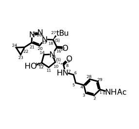 CC(=O)Nc1ccc(CCNC(=O)[C@@H]2C[C@@H](O)CN2C(=O)[C@@H](n2cc(C3CC3)nn2)C(C)(C)C)cc1